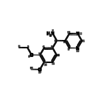 CCOc1cc(C(N)c2cncnc2)ccc1OC